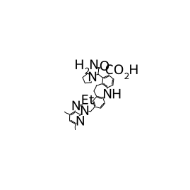 CCc1nc2c(C)cc(C)nc2n1Cc1ccc2c(c1)CCc1c(ccc(C(=O)O)c1C(C(N)=O)N1CCCC1)N2